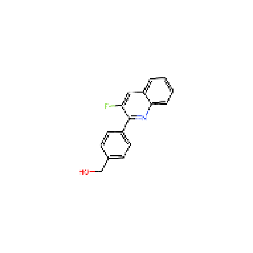 OCc1ccc(-c2nc3ccccc3cc2F)cc1